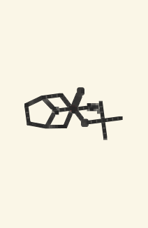 CC(C)(C)OC(=O)N1C2CCC1CN(N)C2